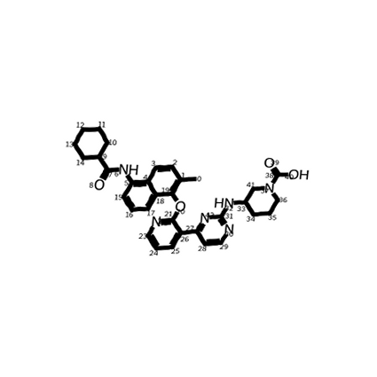 Cc1ccc2c(NC(=O)C3CCCCC3)cccc2c1Oc1ncccc1-c1ccnc(NC2CCCN(C(=O)O)C2)n1